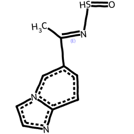 C/C(=N\[SH]=O)c1ccc2nccn2c1